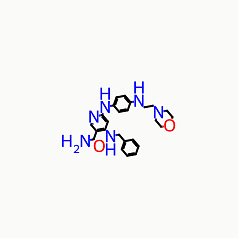 NC(=O)c1cnc(Nc2ccc(NCCN3CCOCC3)cc2)cc1NCc1ccccc1